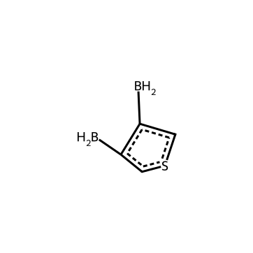 Bc1cscc1B